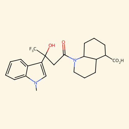 Cn1cc(C(O)(CC(=O)N2CCCC3C(C(=O)O)CCCC32)C(F)(F)F)c2ccccc21